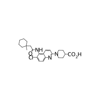 CC1(CC(=O)Nc2c(Cl)ccc3nc(N4CCC(C(=O)O)CC4)ccc23)CCCCC1